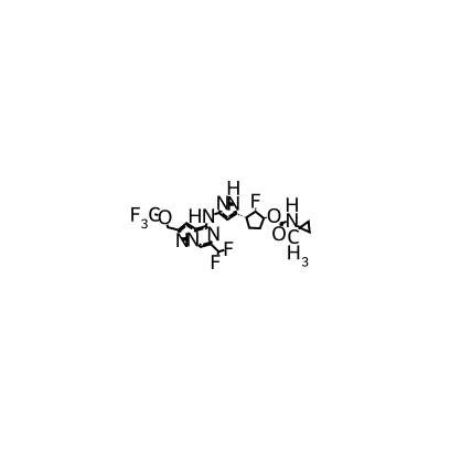 CC1(NC(=O)O[C@@H]2CC[C@H](c3cc(Nc4nc(C(F)F)cn5nc(COC(F)(F)F)cc45)n[nH]3)[C@@H]2F)CC1